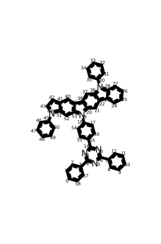 c1ccc(-c2nc(-c3ccccc3)nc(-c3ccc(-n4c5cc6c7ccccc7n(-c7ccccc7)c6cc5c5cc6ccn(-c7ccccc7)c6cc54)cc3)n2)cc1